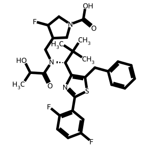 CC(O)C(=O)N(CC1CN(C(=O)O)CC1F)[C@@H](c1nc(-c2cc(F)ccc2F)sc1Cc1ccccc1)C(C)(C)C